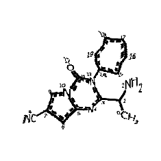 CC(N)c1nc2cc(C#N)cn2c(=O)n1-c1ccccc1